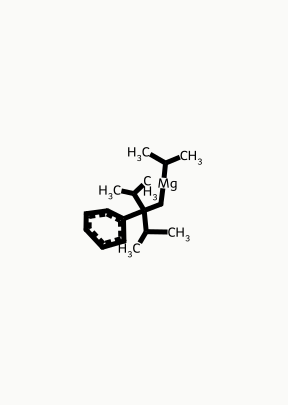 C[CH](C)[Mg][CH2]C(c1ccccc1)(C(C)C)C(C)C